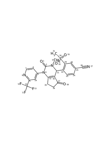 CN1C(=O)N(c2ccnc(C(F)(F)F)c2)C2=C(C(=O)CC2)C1c1ccc(C#N)cc1S(C)(=O)=O